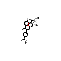 CC(C)OC(=O)c1ccc(C(Cc2ccc(C(F)(F)P(=O)(OC(C)(C)C)OC(C)(C)C)cc2)C(=O)c2ccc(F)cc2)cc1